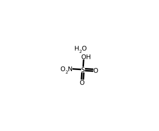 O.O=[N+]([O-])S(=O)(=O)O